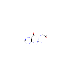 CC(=O)Cn1c(N)nc2[nH]cnc2c1=O